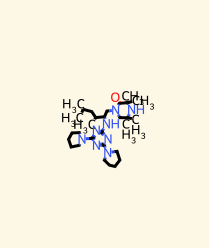 CC(C)CC(C)C(CN1CC(C)(C)NC(C)(C)C1=O)Nc1nc(N2CCCCC2)nc(N2CCCCC2)n1